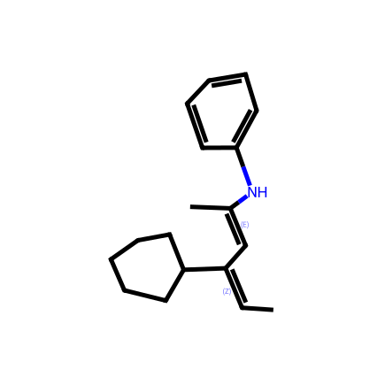 C/C=C(\C=C(/C)Nc1ccccc1)C1CCCCC1